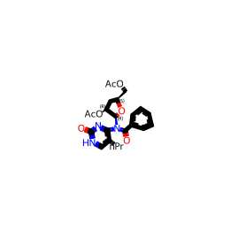 CCCc1c[nH]c(=O)nc1N(C(=O)c1ccccc1)[C@@H]1O[C@H](COC(C)=O)C[C@H]1OC(C)=O